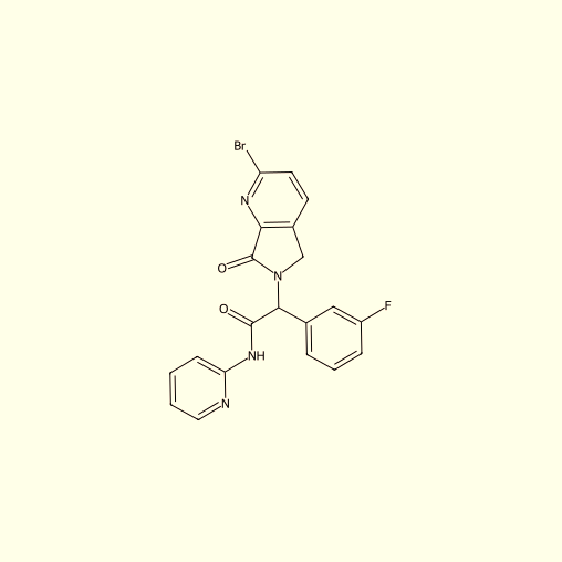 O=C(Nc1ccccn1)C(c1cccc(F)c1)N1Cc2ccc(Br)nc2C1=O